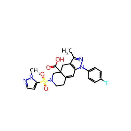 Cc1nn(-c2ccc(F)cc2)c2c1CC1(C(=O)O)CN(S(=O)(=O)c3ccnn3C)CCC1=C2